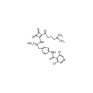 CN(C)CCCNc1c(N[C@@H](Cc2ccc(NC(=O)c3c(Cl)cncc3Cl)cc2)C(=O)O)c(=O)c1=O